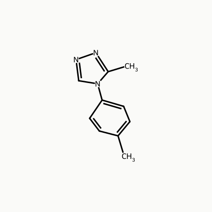 Cc1ccc(-n2cnnc2C)cc1